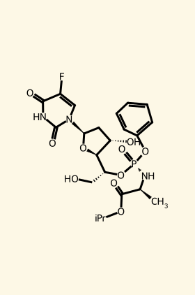 CC(C)OC(=O)[C@H](C)N[P@](=O)(Oc1ccccc1)O[C@H](CO)[C@H]1O[C@@H](n2cc(F)c(=O)[nH]c2=O)C[C@@H]1O